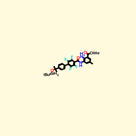 COC(=O)c1cc(C)cc(NC(=O)c2c(F)c(F)c(-c3ccc(C(C)(C)O[SiH2]C(C)(C)C)cc3)c(F)c2F)c1N